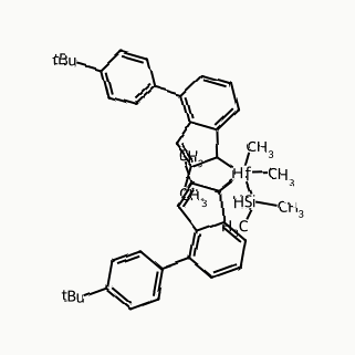 CC1=Cc2c(-c3ccc(C(C)(C)C)cc3)cccc2[CH]1[Hf]([CH3])([CH3])([CH]1C(C)=Cc2c(-c3ccc(C(C)(C)C)cc3)cccc21)[SiH](C)C